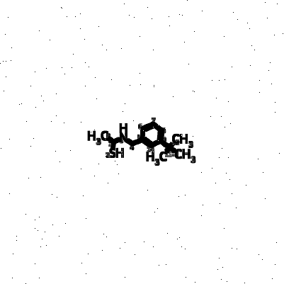 CC(S)NCc1cccc(C(C)(C)C)c1